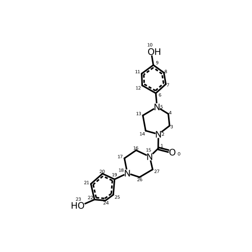 O=C(N1CCN(c2ccc(O)cc2)CC1)N1CCN(c2ccc(O)cc2)CC1